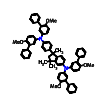 COc1ccc(N(c2ccc(C3(C)CC(C)(C)c4cc(N(c5ccc(OC)c(-c6ccccc6)c5)c5ccc(OC)c(-c6ccccc6)c5)ccc43)cc2)c2ccc(OC)c(-c3ccccc3)c2)cc1-c1ccccc1